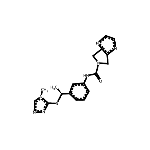 C[C@H](Sc1nncn1C)c1cccc(NC(=O)N2Cc3nccnc3C2)c1